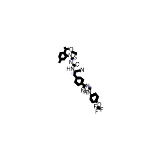 Cc1ccc(C(C)C)c(N2C(=O)CS/C2=N\C(=O)N/C(C#N)=C/c2ccc(C(=N)/N=C\Nc3ccc(OC(F)(F)F)cc3)cc2)c1